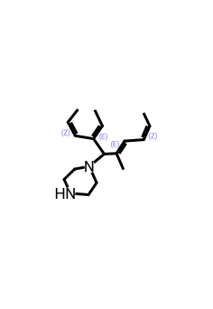 C/C=C\C=C(/C)C(C(/C=C\C)=C/C)N1CCNCC1